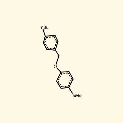 CCCCc1ccc(COc2ccc(SC)cc2)cc1